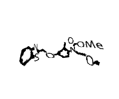 C=COCCN(C(=O)OC)c1ccc(OCc2nc3ccccc3s2)cc1C